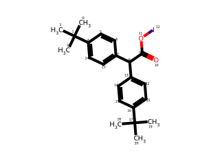 CC(C)(C)c1ccc(C(C(=O)OI)c2ccc(C(C)(C)C)cc2)cc1